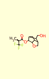 C=C(C(=O)OC1C2CC3C(COC31)C2CO)C(F)(F)F